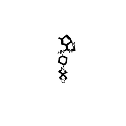 Cc1ccc2ncnc(N[C@H]3CC[C@H](N4CC5(COC5)C4)CC3)c2c1